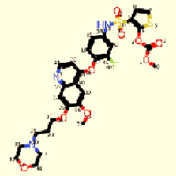 COC(=O)Oc1sccc1S(=O)(=O)Nc1ccc(Oc2ccnc3cc(OCCCN4CCOCC4)c(OC)cc23)c(F)c1